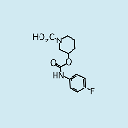 O=C(Nc1ccc(F)cc1)OC1CCCN(C(=O)O)C1